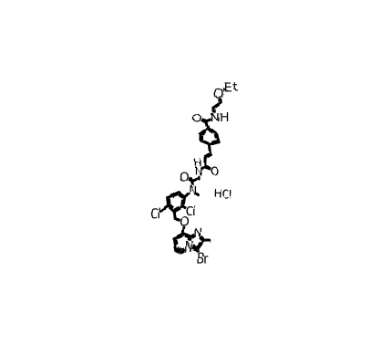 CCOCCNC(=O)c1ccc(C=CC(=O)NCC(=O)N(C)c2ccc(Cl)c(COc3cccn4c(Br)c(C)nc34)c2Cl)cc1.Cl